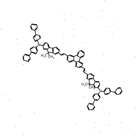 CC1(C)c2cc(/C=C/c3ccc4c5ccc(/C=C/c6ccc7c(c6)C(C)(C)c6cc(N(c8ccc(-c9ccccc9)cc8)c8ccc(-c9ccccc9)cc8)ccc6-7)cc5c5ccccc5c4c3)ccc2-c2ccc(N(c3ccc(-c4ccccc4)cc3)c3ccc(-c4ccccc4)cc3)cc21